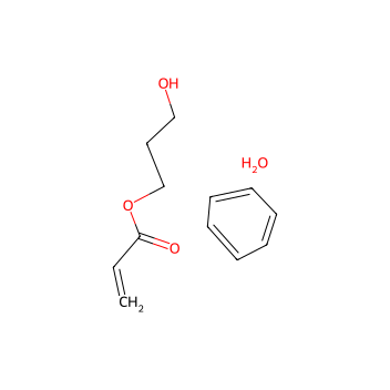 C=CC(=O)OCCCO.O.c1ccccc1